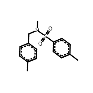 Cc1ccc(CN(C)S(=O)(=O)c2ccc(C)cc2)cc1